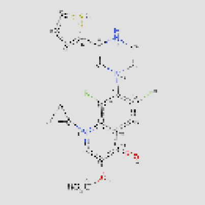 O=C(O)Oc1cn(C2CC2)c2c(F)c(N3CCNC(c4cccs4)C3)c(F)cc2c1=O